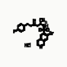 C[C@H](CNCCc1ccc(F)cc1)NS(=O)(=O)c1cc2ccncc2cc1Br.Cl